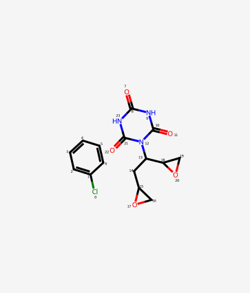 Clc1ccccc1.O=c1[nH]c(=O)n(C(CC2CO2)C2CO2)c(=O)[nH]1